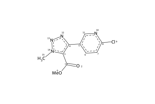 COC(=O)c1c(-c2ccc(Cl)nc2)nnn1C